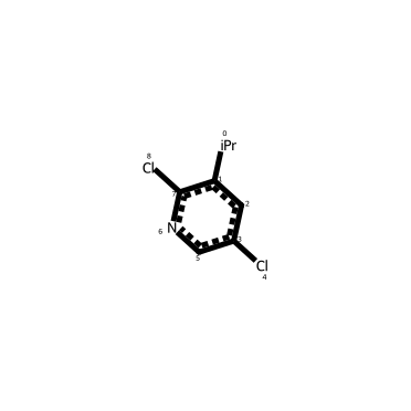 CC(C)c1cc(Cl)cnc1Cl